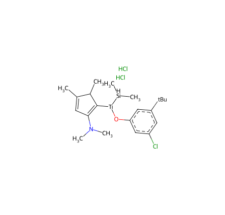 CC1=CC(N(C)C)=[C]([Ti]([O]c2cc(Cl)cc(C(C)(C)C)c2)[SiH](C)C)C1C.Cl.Cl